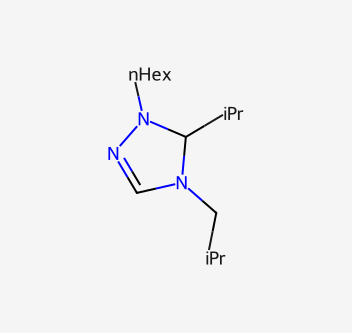 CCCCCCN1N=CN(CC(C)C)C1C(C)C